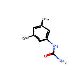 CC(C)(C)c1cc(NC(N)=O)cc(C(C)(C)C)c1